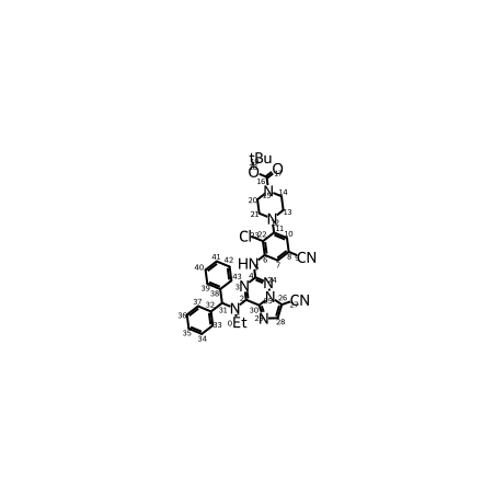 CCN(c1nc(Nc2cc(C#N)cc(N3CCN(C(=O)OC(C)(C)C)CC3)c2Cl)nn2c(C#N)cnc12)C(c1ccccc1)c1ccccc1